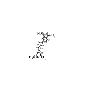 Cc1nc(N2CC3(CCN(c4ncc5c(C)nn(C)c5n4)C3)C2)cc(C(F)(F)F)n1